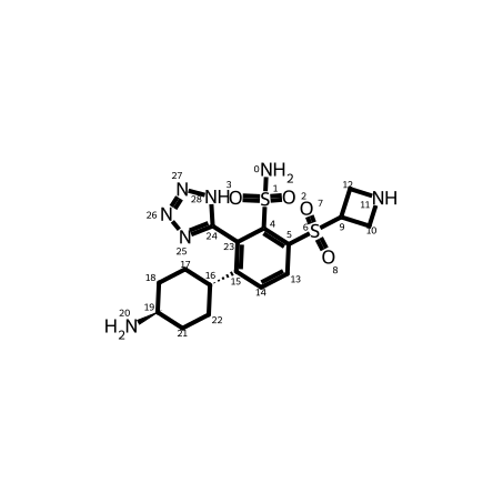 NS(=O)(=O)c1c(S(=O)(=O)C2CNC2)ccc([C@H]2CC[C@H](N)CC2)c1-c1nnn[nH]1